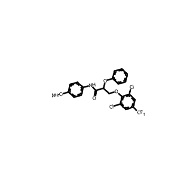 COc1ccc(NC(=O)C(COc2c(Cl)cc(C(F)(F)F)cc2Cl)Oc2ccccc2)cc1